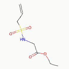 C=CCS(=O)(=O)NCC(=O)OCC